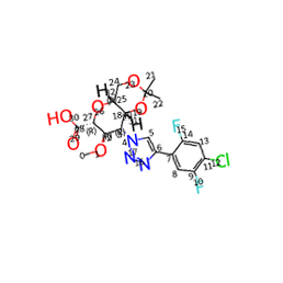 CO[C@@H]1[C@@H](n2cc(-c3cc(F)c(Cl)cc3F)nn2)[C@H]2OC(C)(C)OC[C@H]2O[C@H]1C(=O)O